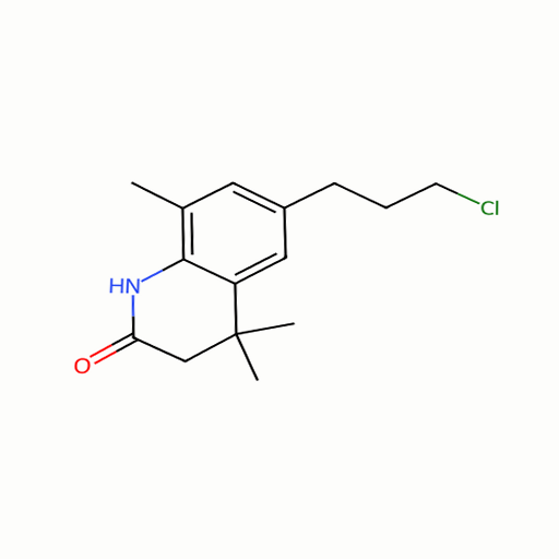 Cc1cc(CCCCl)cc2c1NC(=O)CC2(C)C